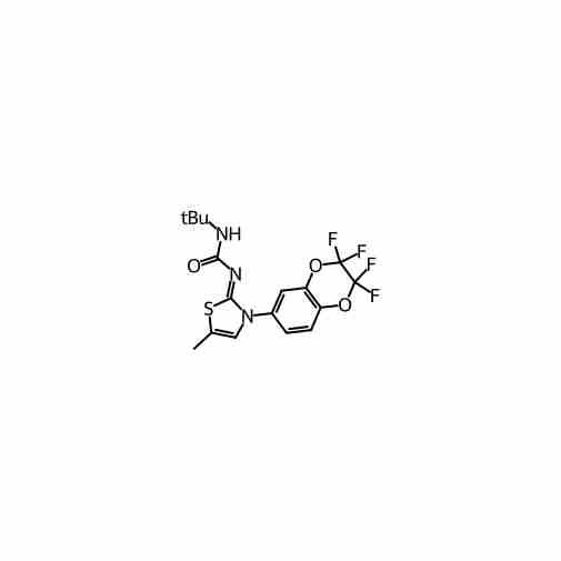 Cc1cn(-c2ccc3c(c2)OC(F)(F)C(F)(F)O3)/c(=N/C(=O)NC(C)(C)C)s1